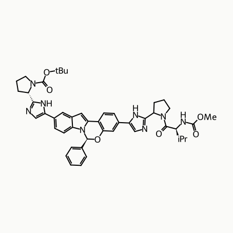 COC(=O)N[C@H](C(=O)N1CCCC1c1ncc(-c2ccc3c(c2)O[C@@H](c2ccccc2)n2c-3cc3cc(-c4cnc([C@@H]5CCCN5C(=O)OC(C)(C)C)[nH]4)ccc32)[nH]1)C(C)C